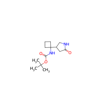 CC(C)(C)OC(=O)NC1(C2CNC(=O)C2)CCC1